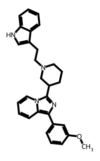 COc1cccc(-c2nc(C3CCCN(CCc4c[nH]c5ccccc45)C3)n3ccccc23)c1